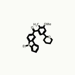 CCn1c2ccccc2c2cc(C(=O)c3cc(C4CCCCO4)cc(OC)c3C)ccc21